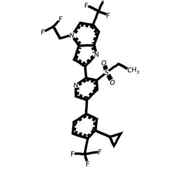 CCS(=O)(=O)c1cc(-c2ccc(C(F)(F)F)c(C3CC3)c2)cnc1-c1cc2n(CC(F)F)cc(C(F)(F)F)cc-2n1